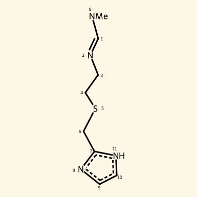 CNC=NCCSCc1ncc[nH]1